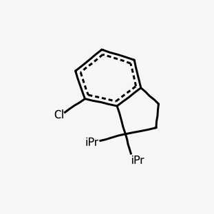 CC(C)C1(C(C)C)CCc2cccc(Cl)c21